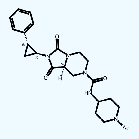 CC(=O)N1CCC(NC(=O)N2CCN3C(=O)N([C@H]4C[C@@H]4c4ccccc4)C(=O)[C@@H]3C2)CC1